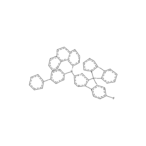 Fc1ccc2c(c1)C1(c3ccccc3-c3ccccc31)c1cc(N(c3ccc(-c4ccccc4)cc3)c3cccc4ccc5ccccc5c34)ccc1-2